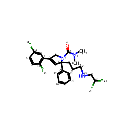 CN(C)C(=O)N1CC(c2cc(F)ccc2F)=CC1(CCCNCC(F)F)c1ccccc1